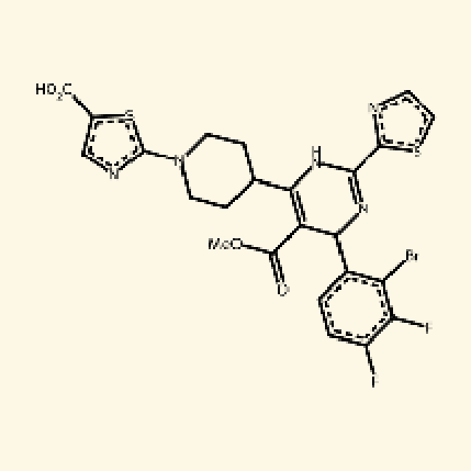 COC(=O)C1=C(C2CCN(c3ncc(C(=O)O)s3)CC2)NC(c2nccs2)=NC1c1ccc(F)c(F)c1Br